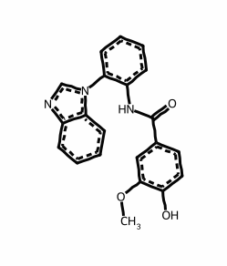 COc1cc(C(=O)Nc2ccccc2-n2cnc3ccccc32)ccc1O